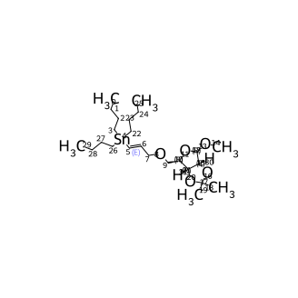 CCC[CH2][Sn](/[CH]=C/COC[C@H]1O[C@@H](OC)[C@@H]2OC(C)(C)O[C@@H]21)([CH2]CCC)[CH2]CCC